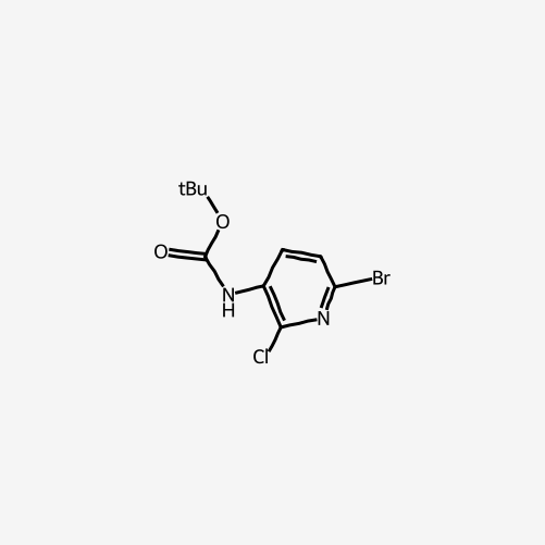 CC(C)(C)OC(=O)Nc1ccc(Br)nc1Cl